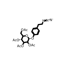 CC(=O)OCC1O[C@H](Oc2ccc(CCN=[N+]=[N-])cc2)C(OC(C)=O)C(OC(C)=O)[C@@H]1OC(C)=O